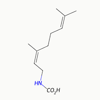 CC(C)=CCCC(C)=CCNC(=O)O